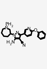 N#Cc1c(-c2ccc(Oc3ccccc3)nc2)nn(C2CCCCN(P)C2)c1N